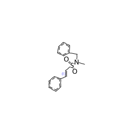 CN(Cc1ccccc1)S(=O)(=O)/C=C/c1ccccc1